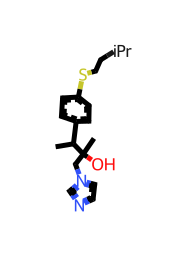 CC(C)CCSc1ccc(C(C)C(C)(O)Cn2ccnc2)cc1